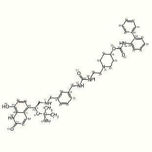 CC(C)(C)[Si](C)(C)O[C@H](CNCc1cccc(CNC(=O)NCCN2CCC(OC(=O)Nc3ccccc3-c3ccccc3)CC2)c1)c1ccc(O)c2[nH]c(=O)ccc12